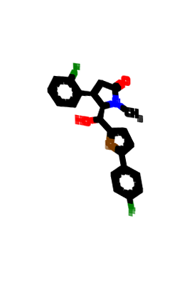 CN1C(=O)C[C@H](c2ccccc2F)[C@@H]1C(O)c1ccc(-c2ccc(F)cc2)s1